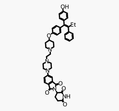 CCC(=C(c1ccc(O)cc1)c1ccc(OC2CCN(CCN3CCN(c4ccc5c(c4)C(=O)N(C4CCC(=O)NC4=O)C5=O)CC3)CC2)cc1)c1ccccc1